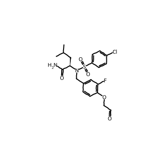 CC(C)C[C@H](C(N)=O)N(Cc1ccc(OCC=O)c(F)c1)S(=O)(=O)c1ccc(Cl)cc1